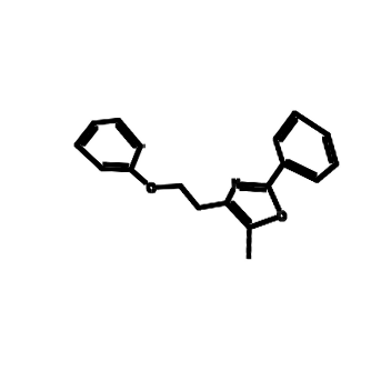 Cc1oc(-c2ccccc2)nc1CCOc1[c]cccc1